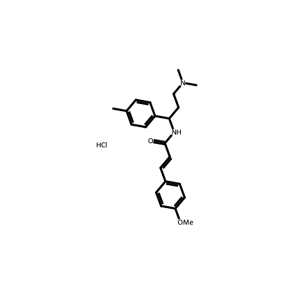 COc1ccc(/C=C/C(=O)NC(CCN(C)C)c2ccc(C)cc2)cc1.Cl